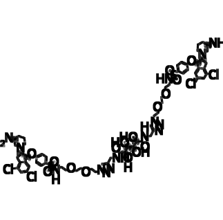 N[C@@H]1CCCN([C@H]2Cc3c(Cl)cc(Cl)cc3[C@@H]2Oc2ccc(S(=O)(=O)NCCOCCOCCn3cc(CNC(=O)[C@@H](O)[C@H](O)[C@H](O)[C@@H](O)C(=O)NCc4cn(CCOCCOCCNS(=O)(=O)c5ccc(O[C@H]6c7cc(Cl)cc(Cl)c7C[C@@H]6N6CCC[C@@H](N)C6)cc5)nn4)nn3)cc2)C1